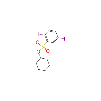 O=S(=O)(OC1CCCCC1)c1cc(I)ccc1I